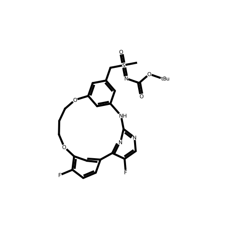 CC(C)(C)OC(=O)N=S(C)(=O)Cc1cc2cc(c1)OCCCOc1cc(ccc1F)-c1nc(ncc1F)N2